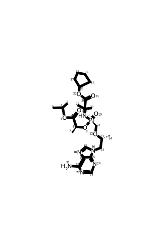 CC(C)OC(=O)[C@H](C)O[P@](=O)(CO[C@H](C)Cn1cnc2c(N)ncnc21)NC(C)(C)C(=O)OC1CCCC1